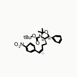 CC(C)(C)OC(=O)N1[C@H](CC/C=C\c2ccc([N+](=O)[O-])cc2)[C@@H](c2ccccc2)OC1(C)C